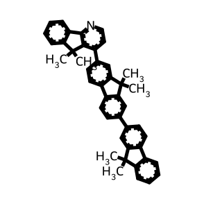 CC1(C)c2ccccc2-c2ccc(-c3ccc4c(c3)C(C)(C)c3cc(-c5ccnc6c5C(C)(C)c5ccccc5-6)ccc3-4)cc21